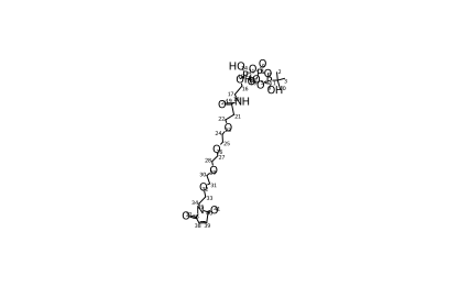 CC(C)(C)P(=O)(O)OP(=O)(O)OP(=O)(O)OCCNC(=O)CCOCCOCCOCCOCCN1C(=O)C=CC1=O